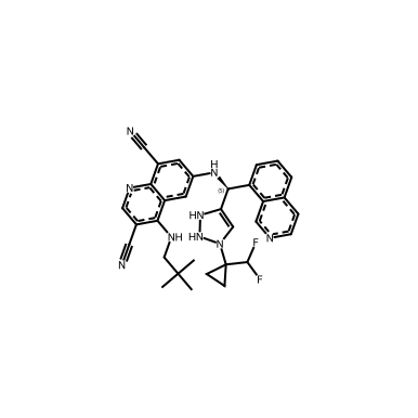 CC(C)(C)CNc1c(C#N)cnc2c(C#N)cc(N[C@H](C3=CN(C4(C(F)F)CC4)NN3)c3cccc4ccncc34)cc12